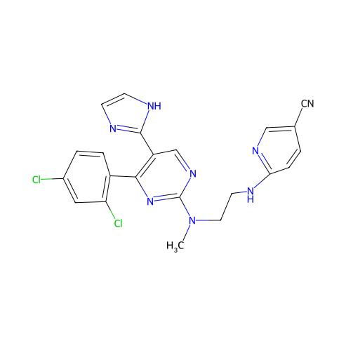 CN(CCNc1ccc(C#N)cn1)c1ncc(-c2ncc[nH]2)c(-c2ccc(Cl)cc2Cl)n1